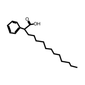 CCCCCCCCCCCCC(C(=O)O)c1ccccc1